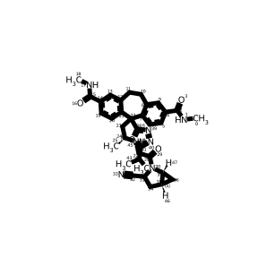 CNC(=O)c1ccc2c(c1)CCc1cc(C(=O)NC)ccc1C2(C[C@@H](C)NCC(=O)N1C(C#N)C[C@@H]2C[C@@H]21)c1nnc(C(C)C)o1